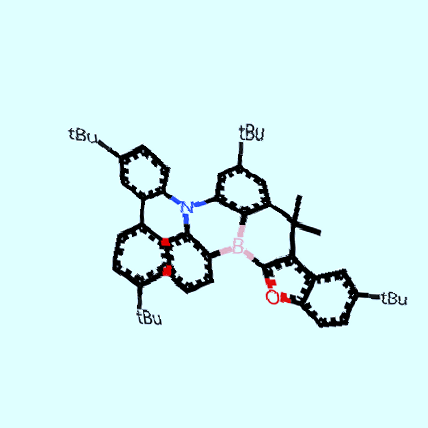 CC(C)(C)c1ccc(-c2cc(C(C)(C)C)ccc2N2c3ccccc3B3c4oc5ccc(C(C)(C)C)cc5c4C(C)(C)c4cc(C(C)(C)C)cc2c43)cc1